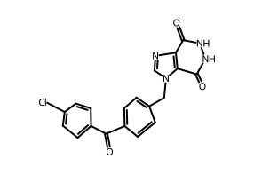 O=C(c1ccc(Cl)cc1)c1ccc(Cn2cnc3c(=O)[nH][nH]c(=O)c32)cc1